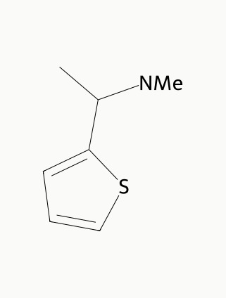 [CH2]NC(C)c1cccs1